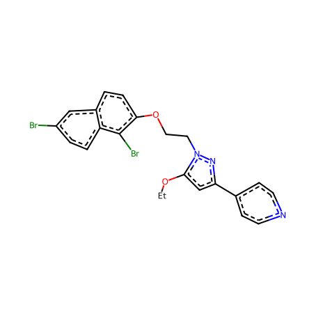 CCOc1cc(-c2ccncc2)nn1CCOc1ccc2cc(Br)ccc2c1Br